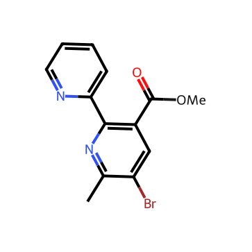 COC(=O)c1cc(Br)c(C)nc1-c1ccccn1